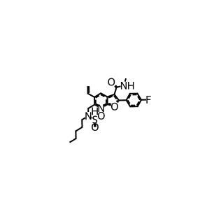 C=Cc1cc2c(C(=O)NC)c(-c3ccc(F)cc3)oc2nc1CN(CCCCC)[SH](=O)=O